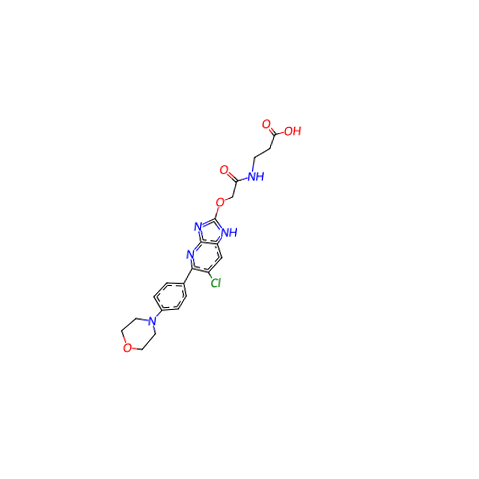 O=C(O)CCNC(=O)COc1nc2nc(-c3ccc(N4CCOCC4)cc3)c(Cl)cc2[nH]1